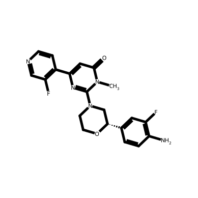 Cn1c(N2CCO[C@@H](c3ccc(N)c(F)c3)C2)nc(-c2ccncc2F)cc1=O